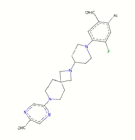 CC(=O)c1cc(F)c(N2CCC(N3CC4(CCN(c5cnc(C=O)cn5)CC4)C3)CC2)cc1C=O